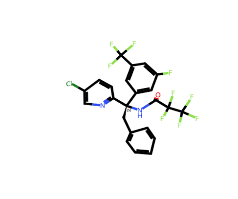 O=C(N[C@@](Cc1ccccc1)(c1cc(F)cc(C(F)(F)F)c1)c1ccc(Cl)cn1)C(F)(F)C(F)(F)F